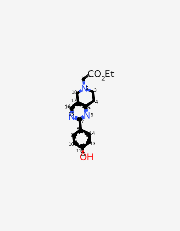 CCOC(=O)CN1CCc2nc(-c3ccc(O)cc3)ncc2C1